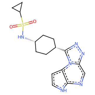 O=S(=O)(N[C@H]1CC[C@@H](c2nnc3cnc4[nH]ccc4n32)CC1)C1CC1